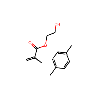 C=C(C)C(=O)OCCO.Cc1ccc(C)cc1